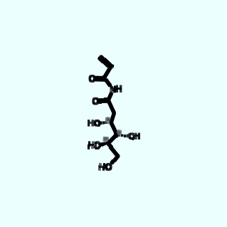 C=CC(=O)NC(=O)C[C@@H](O)[C@H](O)[C@H](O)CO